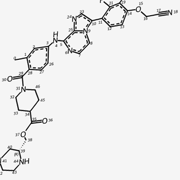 Cc1cc(Nc2nccn3c(-c4ccc(OCC#N)c(F)c4F)cnc23)ccc1C(=O)N1CCC(C(=O)OC[C@H]2CNCCN2)CC1